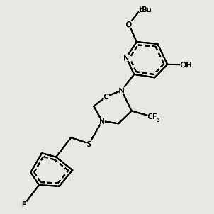 CC(C)(C)Oc1cc(O)cc(N2CCN(SCc3ccc(F)cc3)CC2C(F)(F)F)n1